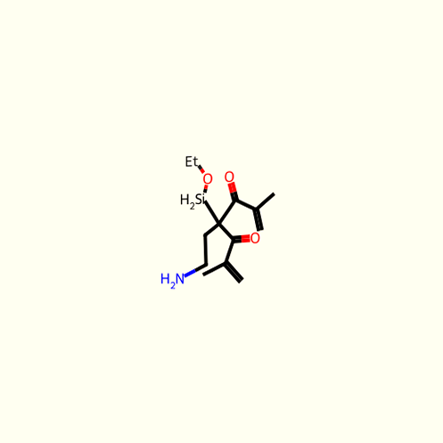 C=C(C)C(=O)C(CCN)([SiH2]OCC)C(=O)C(=C)C